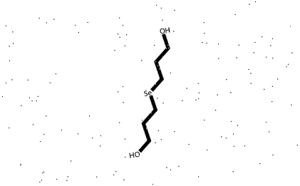 OCCC[Se]CCCO